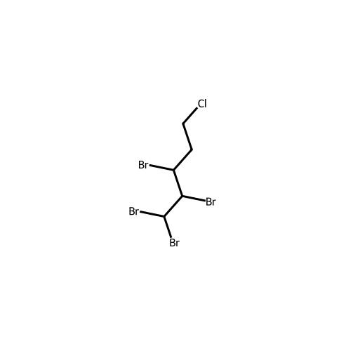 ClCCC(Br)C(Br)C(Br)Br